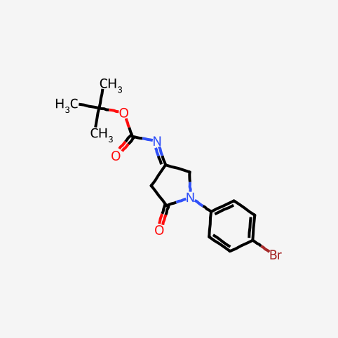 CC(C)(C)OC(=O)/N=C1\CC(=O)N(c2ccc(Br)cc2)C1